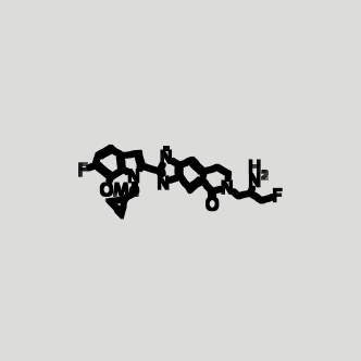 COc1c(F)ccc2cc(-c3nc4cc5c(cc4n3C)CCN(CC(N)CF)C5=O)n(CC3CC3)c12